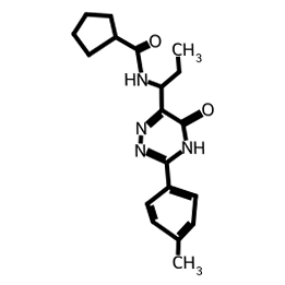 CCC(NC(=O)C1CCCC1)c1nnc(-c2ccc(C)cc2)[nH]c1=O